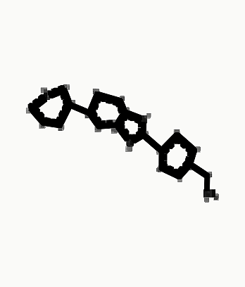 NCc1ccc(-c2nc3ccc(-c4ccccc4)cc3o2)cc1